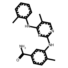 Cc1ccc(C(N)=O)cc1Nc1ncc(C)c(Nc2ccccc2C)n1